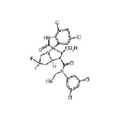 CC(C)(C)CN(C(=O)[C@H]1[C@H]2CC(F)(F)CN2[C@]2(C(=O)Nc3c(Cl)cc(Cl)cc32)[C@H]1C(=O)O)c1cc(Cl)cc(Cl)c1